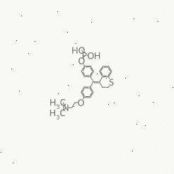 CN(C)CCOc1ccc(C(=C2CCSc3ccccc32)c2ccc(OP(O)O)cc2)cc1